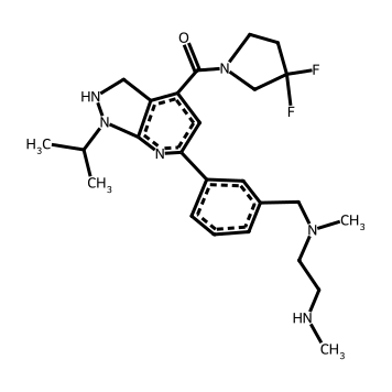 CNCCN(C)Cc1cccc(-c2cc(C(=O)N3CCC(F)(F)C3)c3c(n2)N(C(C)C)NC3)c1